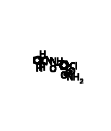 NS(=O)(=O)c1cc(C(=O)NN2C[C@H]3[C@@H]4CCC(C4)[C@H]3C2)ccc1Cl